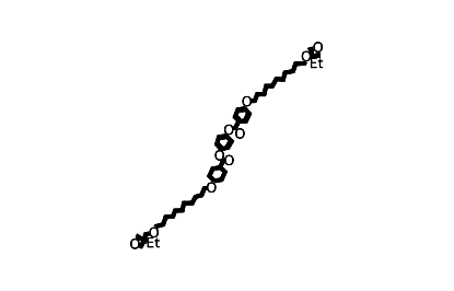 CCC1(COCCCCCCCCCCCOC2CCC(C(=O)Oc3ccc(OC(=O)c4ccc(OCCCCCCCCCCCOC5(CC)COC5)cc4)cc3)CC2)COC1